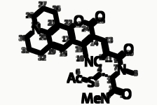 CNC(=O)[C@H](CSC(C)=O)N(C)C(=O)/C(C#N)=C/c1c(C)c2cc3c4c(c2oc1=O)CCCN4CCC3